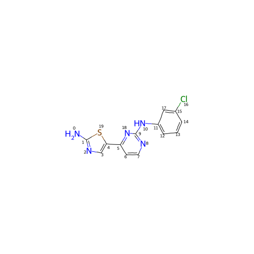 Nc1ncc(-c2ccnc(Nc3cccc(Cl)c3)n2)s1